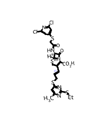 CCSc1nc(C)cc(SC/C=C/C2=C(C(=O)O)N3C(=O)[C@@H](NC(=O)CSc4cc(Cl)nc(Cl)c4)[C@H]3SC2)n1